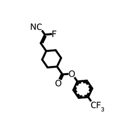 N#CC(F)=CC1CCC(C(=O)Oc2ccc(C(F)(F)F)cc2)CC1